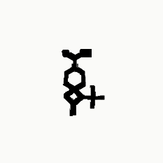 C=C1CC2(CCN(C(=O)O)CC2)C1C(C)(C)C